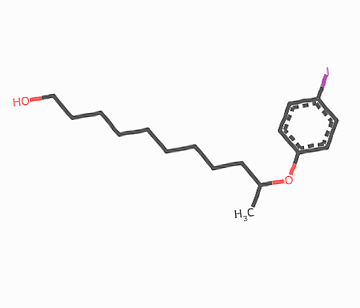 CC(CCCCCCCCCO)Oc1ccc(I)cc1